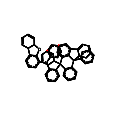 C1=CCC(C2(c3ccccc3N(c3ccccc3)c3cccc4c3OC3C=CC=CC43)c3ccccc3C3(c4ccccc4)c4c(cccc42)C2=CC=CCC23)C=C1